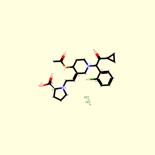 CC(=O)SC1CCN(C(C(=O)C2CC2)c2ccccc2F)CC1=CCN1CCC[C@H]1C(=O)O.Cl.Cl